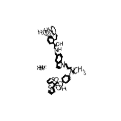 CN(CCCn1ccc2cc(CNC[C@H](O)c3ccc(O)c4c3C=CON4)ccc21)[C@H]1CC[C@H](OC(=O)C(O)(c2cccs2)c2cccs2)CC1.F.F